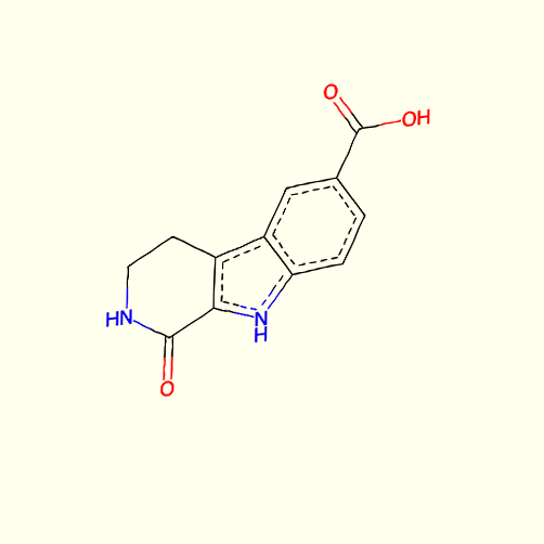 O=C(O)c1ccc2[nH]c3c(c2c1)CCNC3=O